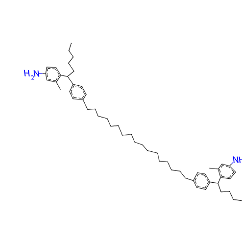 CCCCCC(c1ccc(CCCCCCCCCCCCCCCCCc2ccc(C(CCCCC)c3ccc(N)cc3C)cc2)cc1)c1ccc(N)cc1C